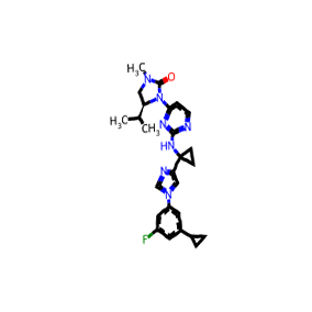 CC(C)[C@H]1CN(C)C(=O)N1c1ccnc(NC2(c3cn(-c4cc(F)cc(C5CC5)c4)cn3)CC2)n1